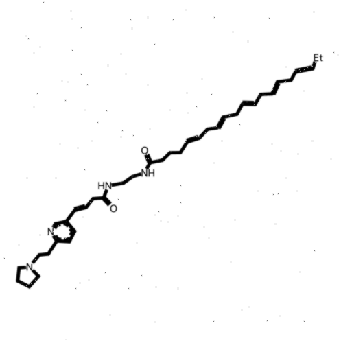 CCC=CCC=CCC=CCC=CCC=CCCCC(=O)NCCNC(=O)CC=Cc1ccc(CCN2CCCC2)nc1